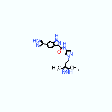 Cc1n[nH]c(C)c1CCn1cc(NC(=O)c2n[nH]c3cc(-c4cn[nH]c4)ccc23)cn1